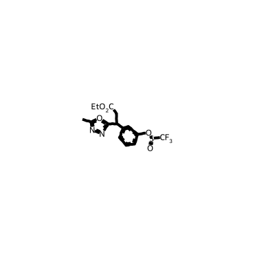 CCOC(=O)CC(c1cccc(OS(=O)C(F)(F)F)c1)c1nnc(C)o1